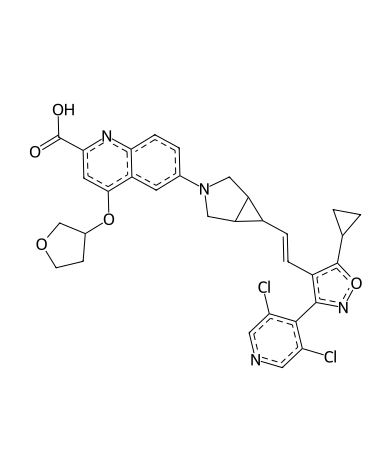 O=C(O)c1cc(OC2CCOC2)c2cc(N3CC4C(C=Cc5c(-c6c(Cl)cncc6Cl)noc5C5CC5)C4C3)ccc2n1